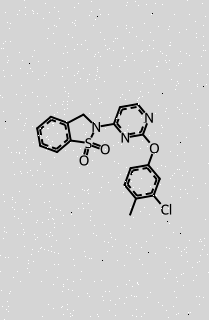 Cc1ccc(Oc2nccc(N3Cc4ccccc4S3(=O)=O)n2)cc1Cl